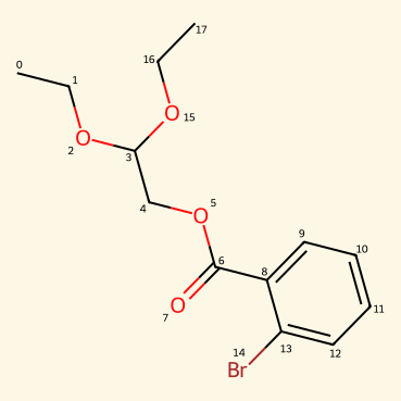 CCOC(COC(=O)c1ccccc1Br)OCC